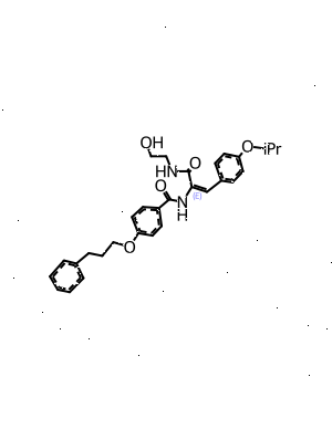 CC(C)Oc1ccc(/C=C(/NC(=O)c2ccc(OCCCc3ccccc3)cc2)C(=O)NCCO)cc1